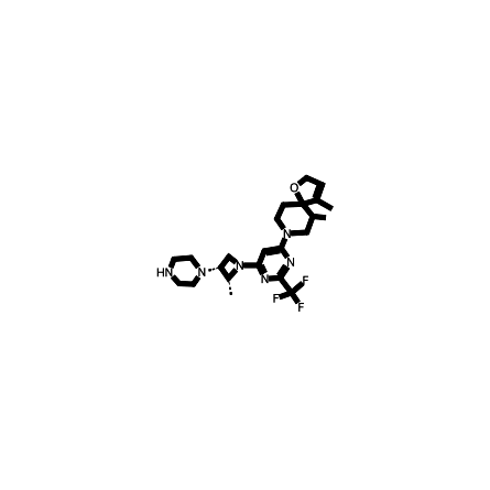 CC1=CCOC12CCN(c1cc(N3C[C@@H](N4CCNCC4)[C@H]3C)nc(C(F)(F)F)n1)CC2C